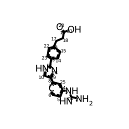 N=C(N)Nc1cccc(-c2c[nH]c(-c3ccc(CCC(=O)O)cc3)n2)c1